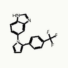 FC(F)(F)c1ccc(-c2c[c]cn2-c2ccc3[nH]cnc3c2)cc1